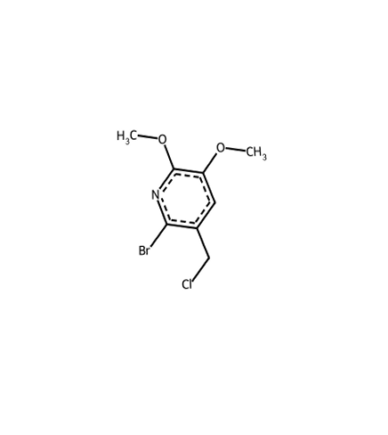 COc1cc(CCl)c(Br)nc1OC